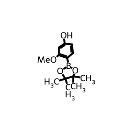 COc1cc(O)ccc1B1OC(C)(C)C(C)(C)O1